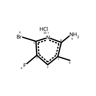 Cc1cc(F)c(Br)nc1N.Cl